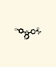 CN(C)C(=O)N1CCC(c2nn(-c3ccc(Cl)cc3)c3cnccc23)CC1